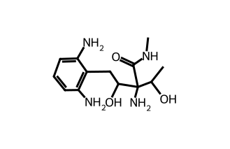 CNC(=O)C(N)(C(C)O)C(O)Cc1c(N)cccc1N